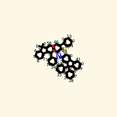 CC1(C)c2ccccc2-c2c(-c3ccccc3N(c3ccc4c(c3)C(c3ccccc3)(c3ccccc3)c3ccccc3-4)c3cccc4c3sc3ccccc34)cccc21